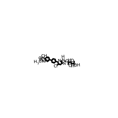 CN(c1ccc(-c2ccc(-c3nc4[nH]c(O[C@H]5CO[C@H]6[C@@H]5OC[C@H]6O)nc4cc3Cl)cc2)cc1)S(C)(=N)=O